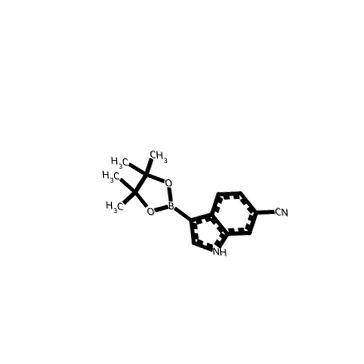 CC1(C)OB(c2c[nH]c3cc(C#N)ccc23)OC1(C)C